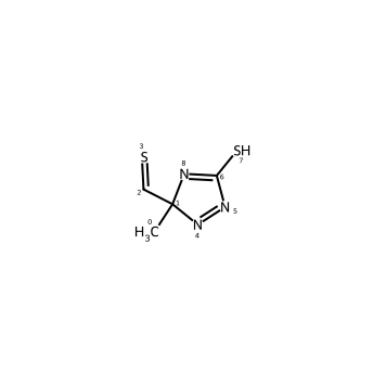 CC1(C=S)N=NC(S)=N1